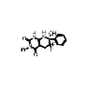 CC(C)n1c(=O)[nH]c2c(c1=O)CC(F)(F)[C@](C)(c1ccccc1)N2